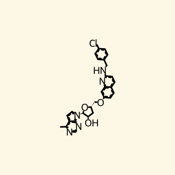 Cc1ncnc2c1ccn2[C@@H]1O[C@H](COc2ccc3ccc(NCc4ccc(Cl)cc4)nc3c2)C[C@H]1O